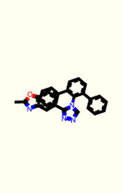 Cc1nc2cc(-c3nncn3-c3c(-c4ccccc4)cccc3-c3ccccc3)ccc2o1